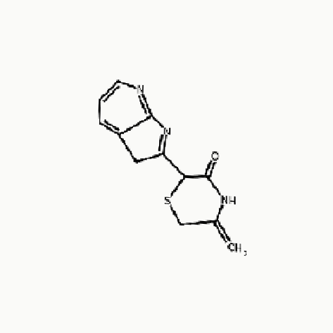 C=C1CSC(C2=Nc3ncccc3C2)C(=O)N1